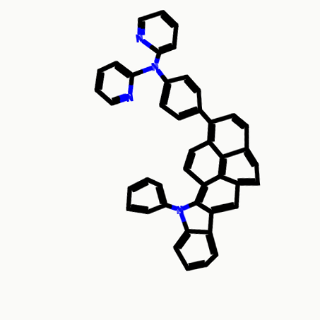 c1ccc(-n2c3ccccc3c3cc4ccc5ccc(-c6ccc(N(c7ccccn7)c7ccccn7)cc6)c6ccc(c4c56)c32)cc1